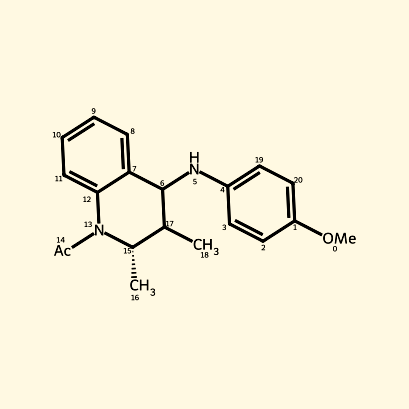 COc1ccc(NC2c3ccccc3N(C(C)=O)[C@@H](C)C2C)cc1